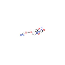 Cn1c(=O)n(C2CCC(=O)NC2=O)c2cccc(CCCOCCCOC3CCNCC3)c21